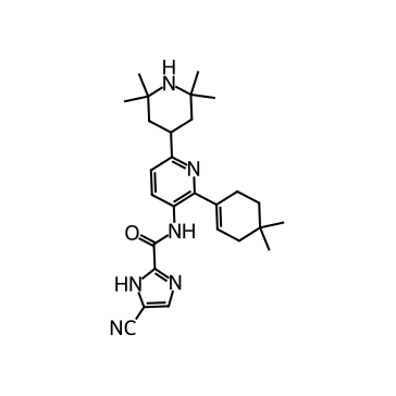 CC1(C)CC=C(c2nc(C3CC(C)(C)NC(C)(C)C3)ccc2NC(=O)c2ncc(C#N)[nH]2)CC1